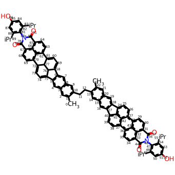 Cc1cc2cc3c(cc2cc1CCc1cc2cc4c(cc2cc1C)-c1ccc2c5ccc6c7c(ccc(c8ccc-4c1c28)c75)C(=O)N(c1c(C(C)C)cc(O)cc1C(C)C)C6=O)C1=CC=C2c4ccc5c6c(ccc(c46)C4=CC=C3C1C42)C(=O)N(c1c(C(C)C)cc(O)cc1C(C)C)C5=O